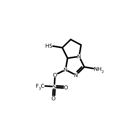 NC1=NN(OS(=O)(=O)C(F)(F)F)C2C(S)CCN12